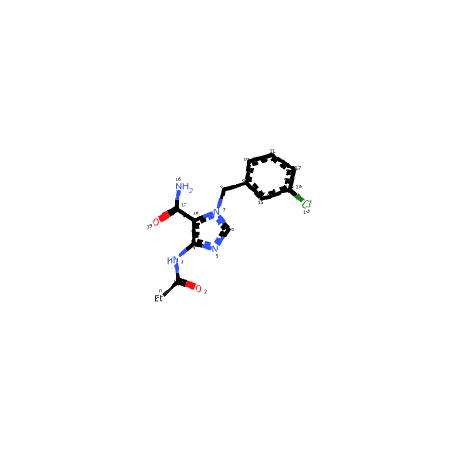 CCC(=O)Nc1ncn(Cc2cccc(Cl)c2)c1C(N)=O